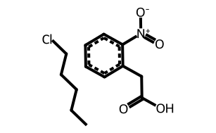 CCCCCCl.O=C(O)Cc1ccccc1[N+](=O)[O-]